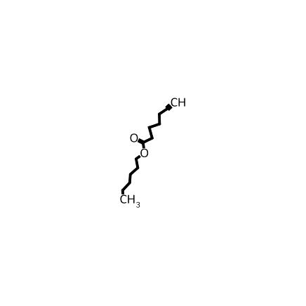 C#CCCCCC(=O)OCCCCCC